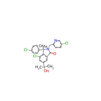 CO[C@]1(c2ccc(Cl)cc2)c2c(Cl)cc(C(C)(C)O)cc2C(=O)N1Cc1ccc(Cl)cn1